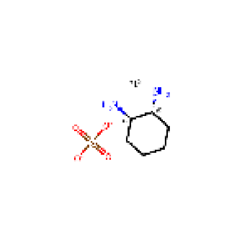 N[C@@H]1CCCC[C@H]1N.O=S(=O)([O-])[O-].[Pt+2]